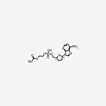 CC(C)(C)C(=O)SCCOP(=O)(O)OC[C@@H]1CC[C@H](n2cnc3c(N)ncnc32)O1